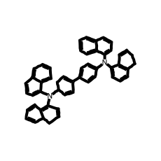 C1=CC2=C(N(c3cccc4ccccc34)C3C=CC(c4ccc(N(c5cccc6c5C=CCC6)c5cccc6ccccc56)cc4)=CC3)C=CCC2C=C1